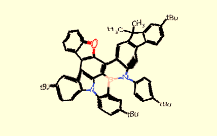 CC(C)(C)c1ccc(N2B3c4cc(C(C)(C)C)ccc4-n4c5ccc(C(C)(C)C)cc5c5c6c(oc7ccccc76)c(c3c54)-c3cc4c(cc32)-c2ccc(C(C)(C)C)cc2C4(C)C)cc1